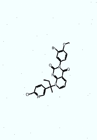 CCC(C)(c1ccc(Cl)nc1)n1cccc2c(=O)n(-c3ccc(OC)c(Br)c3)c(=O)nc1-2